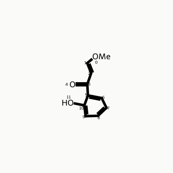 COC=CC(=O)c1ccccc1O